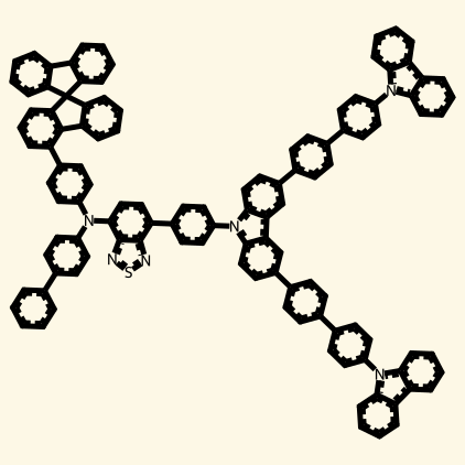 c1ccc(-c2ccc(N(c3ccc(-c4cccc5c4-c4ccccc4C54c5ccccc5-c5ccccc54)cc3)c3ccc(-c4ccc(-n5c6ccc(-c7ccc(-c8ccc(-n9c%10ccccc%10c%10ccccc%109)cc8)cc7)cc6c6cc(-c7ccc(-c8ccc(-n9c%10ccccc%10c%10ccccc%109)cc8)cc7)ccc65)cc4)c4nsnc34)cc2)cc1